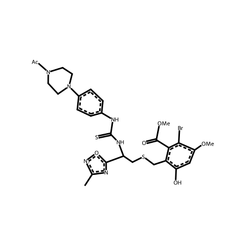 COC(=O)c1c(Br)c(OC)cc(O)c1CSCC(NC(=S)Nc1ccc(N2CCN(C(C)=O)CC2)cc1)c1nc(C)no1